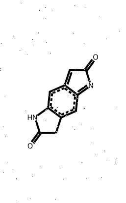 O=C1C=c2cc3c(cc2=N1)CC(=O)N3